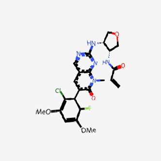 C=CC(=O)N[C@H]1COC[C@H]1Nc1ncc2cc(C3C(Cl)=C(OC)C=C(OC)C3F)c(=O)n(C)c2n1